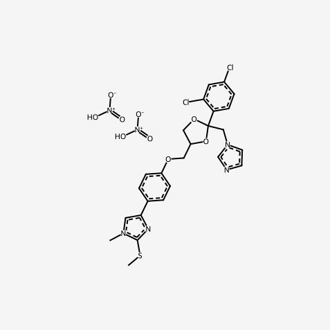 CSc1nc(-c2ccc(OCC3COC(Cn4ccnc4)(c4ccc(Cl)cc4Cl)O3)cc2)cn1C.O=[N+]([O-])O.O=[N+]([O-])O